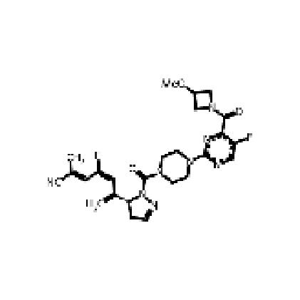 C=C(/C=C(F)\C=C(/C)C#N)[C@@H]1CC=NN1C(=O)N1CCN(c2ncc(F)c(C(=O)N3CC(OC)C3)n2)CC1